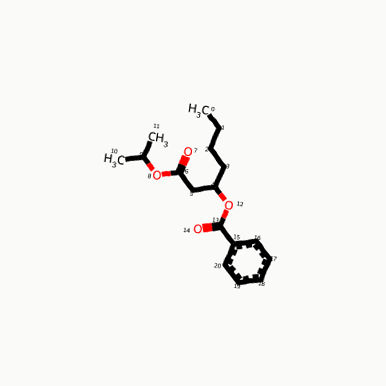 CCCCC(CC(=O)OC(C)C)OC(=O)c1ccccc1